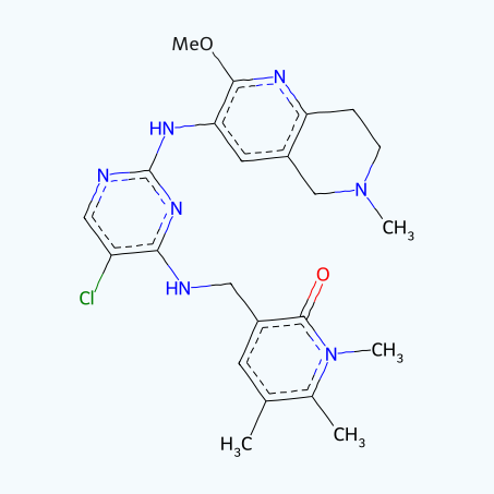 COc1nc2c(cc1Nc1ncc(Cl)c(NCc3cc(C)c(C)n(C)c3=O)n1)CN(C)CC2